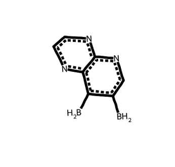 Bc1cnc2nccnc2c1B